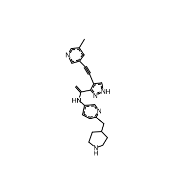 C=C(Nc1ccc(CC2CCNCC2)nc1)c1n[nH]cc1C#Cc1cncc(C)c1